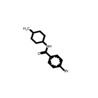 CC1CCC(NC(=O)c2ccc(C(C)C)cc2)CC1